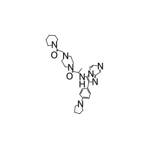 CC(Nc1c(-c2ccc(N3CCCC3)cc2)nc2cnccn12)C(=O)N1CCN(CC(=O)N2CCCCC2)CC1